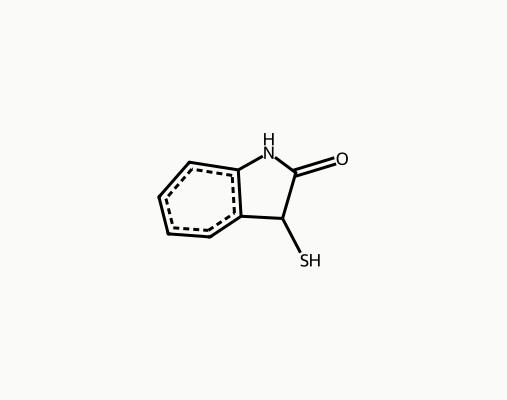 O=C1Nc2ccccc2C1S